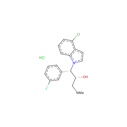 CNC[C@@H](O)[C@H](c1cccc(F)c1)n1ccc2c(Cl)cccc21.Cl